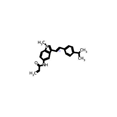 C=CC(=O)Nc1ccc2c(c1)c(/C=C/c1ccc(C(C)C)cc1)cn2C